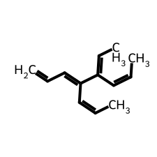 C=C/C=C(\C=C/C)C(/C=C\C)=C/C